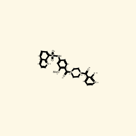 COc1cc(NS(=O)(=O)c2cccc3cccnc23)ccc1C(=O)N1CCN(C(=O)c2cccnc2F)CC1